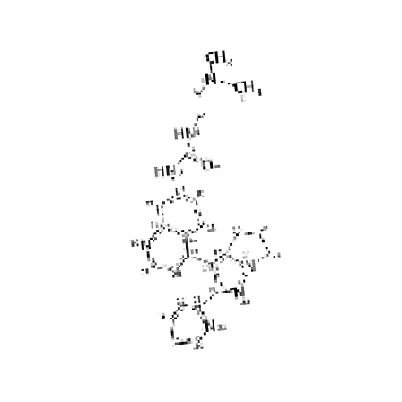 CN(C)CCNC(=O)Nc1ccc2c(-c3c(-c4ccccn4)nn4c3CCC4)ccnc2c1